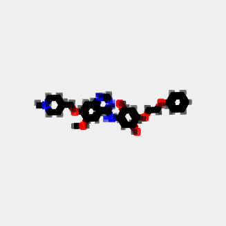 COc1cc2c(NC3=CC(=O)C(OCCOc4ccccc4)=CC3=O)ncnc2cc1OCC1CCN(C)CC1